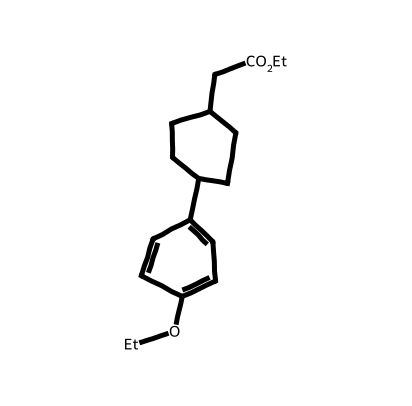 CCOC(=O)CC1CCC(c2ccc(OCC)cc2)CC1